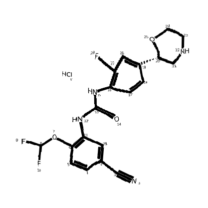 Cl.N#Cc1ccc(OC(F)F)c(NC(=O)Nc2ccc([C@H]3CNCCO3)cc2F)c1